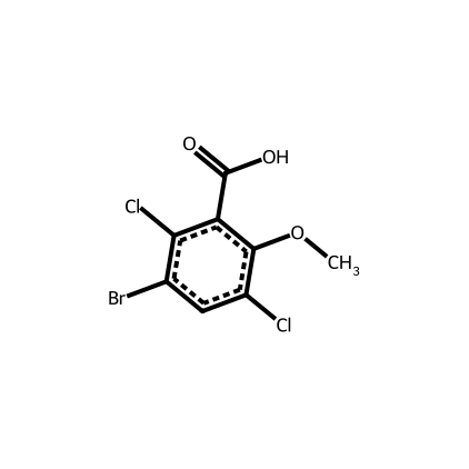 COc1c(Cl)cc(Br)c(Cl)c1C(=O)O